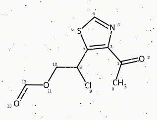 CC(=O)c1ncsc1C(Cl)COC=O